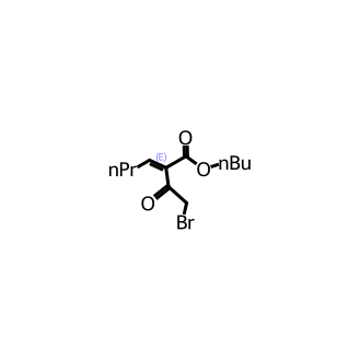 CCC/C=C(\C(=O)CBr)C(=O)OCCCC